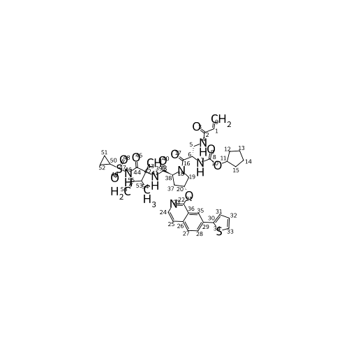 C=CC(=O)NC[C@H](NC(=O)OC1CCCC1)C(=O)N1C[C@H](Oc2nccc3ccc(-c4cccs4)cc23)C[C@H]1C(=O)N[C@@](C)(C(=O)NS(=O)(=O)C1CC1)C(C)C=C